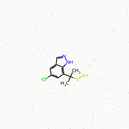 CC(C)(SS)c1cc(Cl)cc2cn[nH]c12